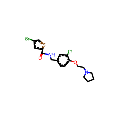 O=C(NCc1ccc(OCCN2CCCC2)c(Cl)c1)c1cc(Br)cs1